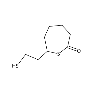 O=C1CCCCC(CCS)S1